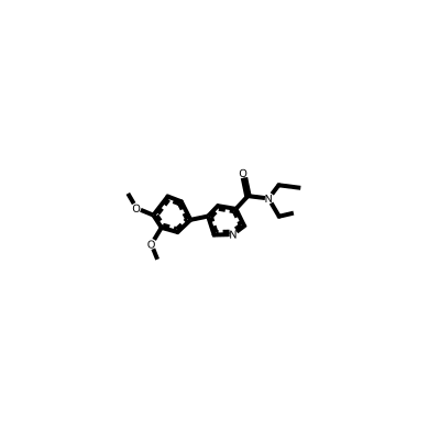 CCN(CC)C(=O)c1cncc(-c2ccc(OC)c(OC)c2)c1